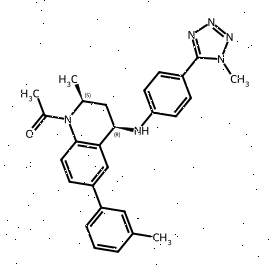 CC(=O)N1c2ccc(-c3cccc(C)c3)cc2[C@H](Nc2ccc(-c3nnnn3C)cc2)C[C@@H]1C